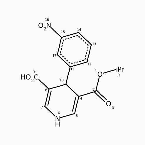 CC(C)OC(=O)C1=CNC=C(C(=O)O)C1c1cccc([N+](=O)[O-])c1